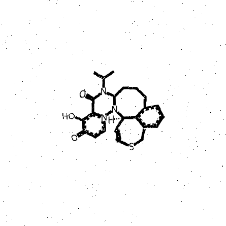 CC(C)N1C(=O)c2c(O)c(=O)ccn2N2C1CCCc1cccc3c1[C@H]2c1ccccc1SC3